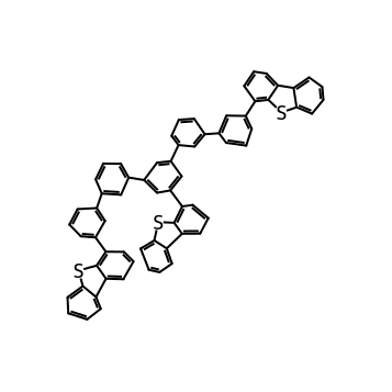 c1cc(-c2cccc(-c3cccc4c3sc3ccccc34)c2)cc(-c2cc(-c3cccc(-c4cccc(-c5cccc6c5sc5ccccc56)c4)c3)cc(-c3cccc4c3sc3ccccc34)c2)c1